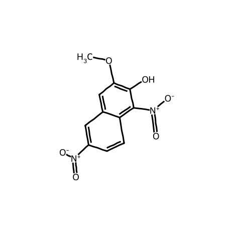 COc1cc2cc([N+](=O)[O-])ccc2c([N+](=O)[O-])c1O